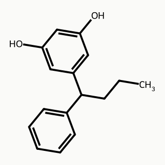 CCCC(c1ccccc1)c1cc(O)cc(O)c1